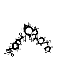 O=C(N[C@H]1C[C@@H]2C[C@@H]2C[C@H]2CC[C@@H](C(=O)N3CCN(C(=O)[C@@H]4CCOC4)CC3)N2C1=O)c1cc2cc(C(F)(F)P(=O)(O)O)ccc2s1